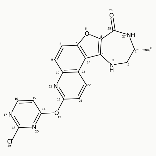 C[C@@H]1CNc2c(oc3ccc4nc(Oc5ccnc(Cl)n5)ccc4c23)C(=O)N1